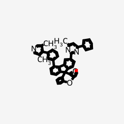 Cc1cc(-c2ccccc2)nc(-c2ccc3c(c2)-c2c(-c4cccc(-c5c(C)cncc5C)c4)cccc2C32c3ccccc3Oc3ccccc32)n1